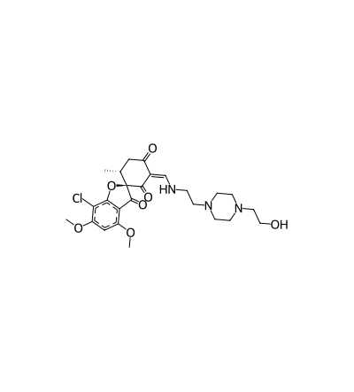 COc1cc(OC)c2c(c1Cl)O[C@@]1(C(=O)C(=CNCCN3CCN(CCO)CC3)C(=O)C[C@H]1C)C2=O